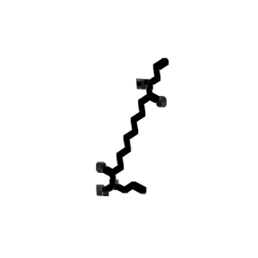 C=CCNC(=O)CCCCCCCCC(=O)N(CC)CC=C